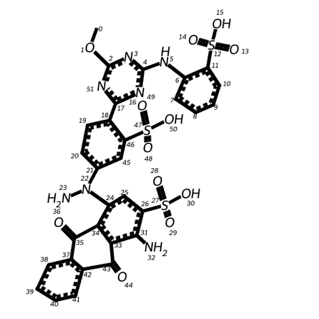 COc1nc(Nc2ccccc2S(=O)(=O)O)nc(-c2ccc(N(N)c3cc(S(=O)(=O)O)c(N)c4c3C(=O)c3ccccc3C4=O)cc2S(=O)(=O)O)n1